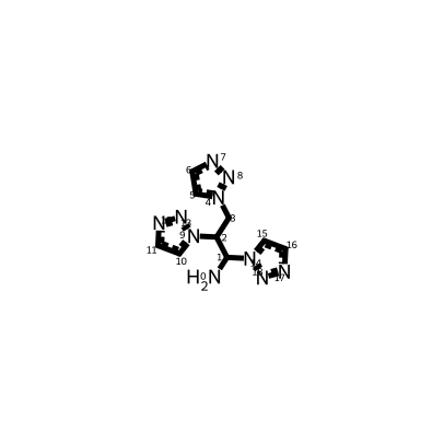 NC(C(Cn1ccnn1)n1ccnn1)n1ccnn1